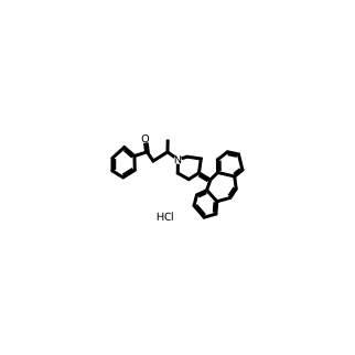 CC(CC(=O)c1ccccc1)N1CCC(=C2c3ccccc3C=Cc3ccccc32)CC1.Cl